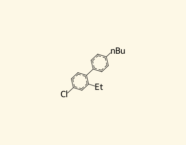 CCCCc1ccc(-c2ccc(Cl)cc2CC)cc1